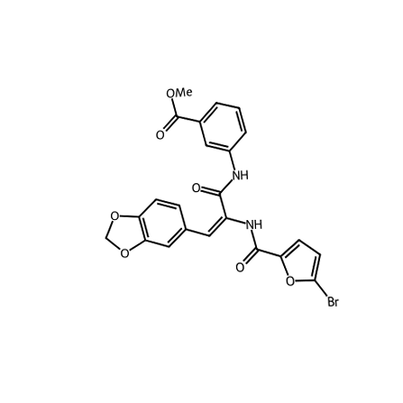 COC(=O)c1cccc(NC(=O)/C(=C\c2ccc3c(c2)OCO3)NC(=O)c2ccc(Br)o2)c1